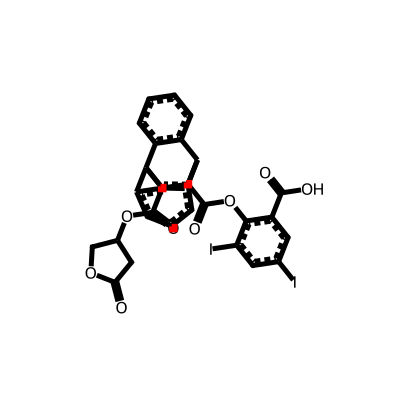 O=C1CC(OC(=O)C2C(C(=O)Oc3c(I)cc(I)cc3C(=O)O)C3c4ccccc4C24c2cccc3c24)CO1